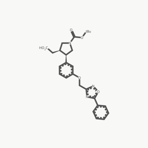 CC(C)(C)OC(=O)N1C[C@H](CC(=O)O)[C@H](c2cccc(OCc3noc(-c4ccccc4)n3)c2)C1